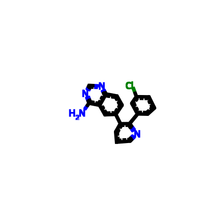 Nc1ncnc2ccc(-c3cccnc3-c3cccc(Cl)c3)cc12